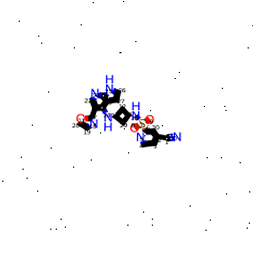 N#Cc1ccnc(S(=O)(=O)N[C@H]2C[C@@H](Nc3c(-c4ncco4)cnc4[nH]ccc34)C2)c1